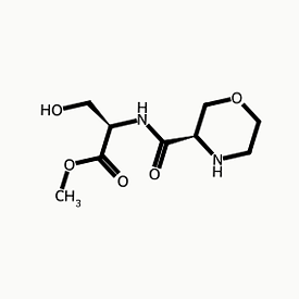 COC(=O)[C@@H](CO)NC(=O)[C@H]1COCCN1